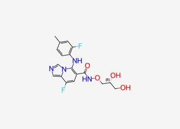 Cc1ccc(Nc2c(C(=O)NOC[C@H](O)CO)cc(F)c3cncn23)c(F)c1